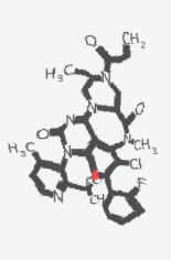 C=CC(=O)N1CC2C(=O)N(C)c3c(Cl)c(-c4ccccc4F)c(F)c4c3c(nc(=O)n4-c3c(C)ccnc3C(C)C)N2CC1C